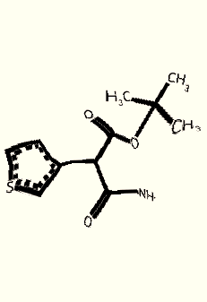 CC(C)(C)OC(=O)C(C([NH])=O)c1ccsc1